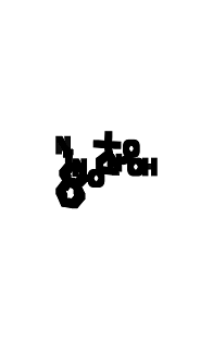 CC(C)(C)C1CC(Oc2nc(C#N)cc3ccccc23)CN1C(=O)O